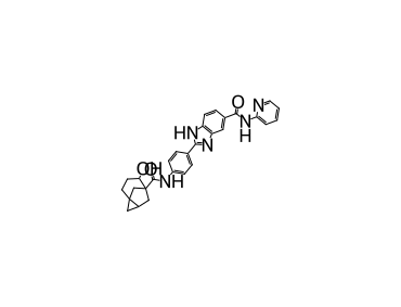 O=C(Nc1ccccn1)c1ccc2[nH]c(-c3ccc(NC(=O)C45CC6CC6(CCC4O)C5)cc3)nc2c1